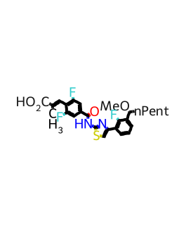 CCCCCC(OC)c1cccc(-c2csc(NC(=O)c3cc(F)c(C=C(C)C(=O)O)c(F)c3)n2)c1F